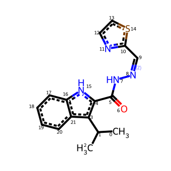 CC(C)c1c(C(=O)N/N=C\c2nccs2)[nH]c2ccccc12